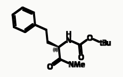 CNC(=O)[C@@H](CCc1ccccc1)NC(=O)OC(C)(C)C